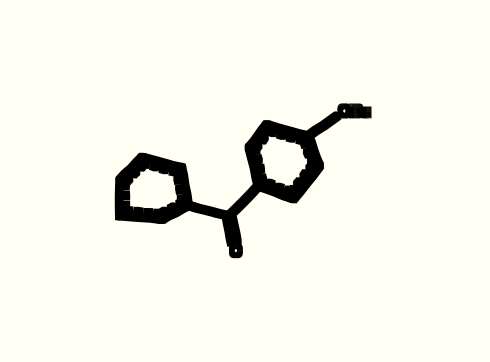 CC(C)COc1ccc(C(=O)c2ccccc2)cc1